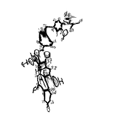 COc1cc(Cc2ccc([C@@H]3O[C@@H]4C[C@H]5[C@@H]6C[C@H](F)C7=CC(=O)C=C[C@]7(C)[C@@]6(F)[C@@H](O)C[C@]5(C)[C@]4(C(=O)CO)O3)cc2)ccc1N(C)C(C)C